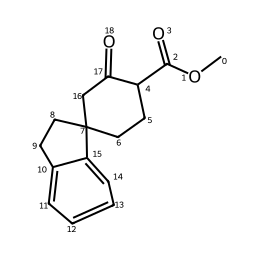 COC(=O)C1CCC2(CCc3ccccc32)CC1=O